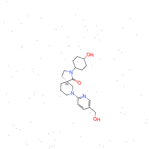 O=C1N(C2CCC(O)CC2)CC[C@]12CCCN(c1ccc(CO)cn1)C2